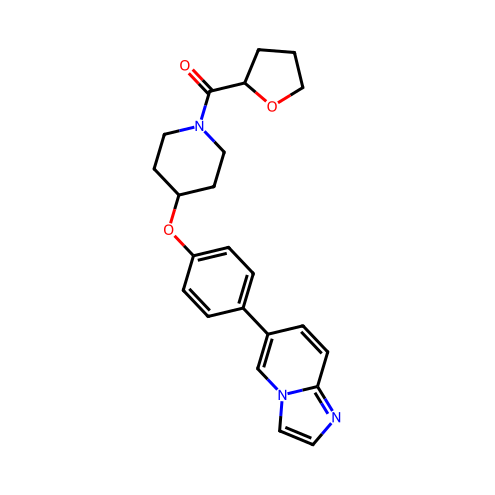 O=C(C1CCCO1)N1CCC(Oc2ccc(-c3ccc4nccn4c3)cc2)CC1